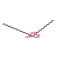 CCCCCCCCCCCCCCCCCCC(O)C(=O)N[C@H](CO)[C@H](O)C(O)CCCCCCCCCCCCCC